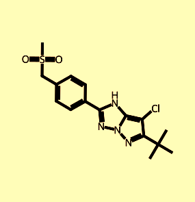 CC(C)(C)c1nn2nc(-c3ccc(CS(C)(=O)=O)cc3)[nH]c2c1Cl